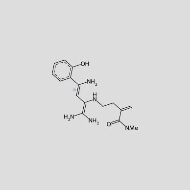 C=C(CCNC(/C=C(\N)c1ccccc1O)=C(N)N)C(=O)NC